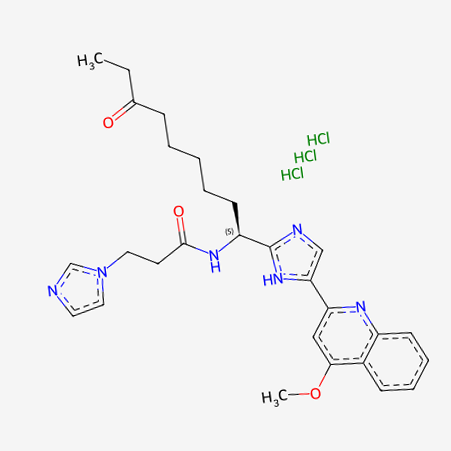 CCC(=O)CCCCC[C@H](NC(=O)CCn1ccnc1)c1ncc(-c2cc(OC)c3ccccc3n2)[nH]1.Cl.Cl.Cl